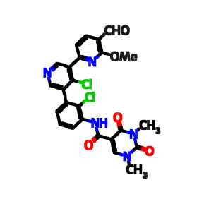 COc1nc(-c2cncc(-c3cccc(NC(=O)c4cn(C)c(=O)n(C)c4=O)c3Cl)c2Cl)ccc1C=O